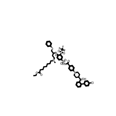 CCOC(=O)CCCCCCCN(C)CCC(CSc1ccccc1)Nc1ccc(S(=O)(=O)NC(=O)c2ccc(N3CCC([C@@H](O)c4ccccc4-c4ccc(Cl)cc4)CC3)cc2)cc1S(=O)(=O)C(F)(F)F